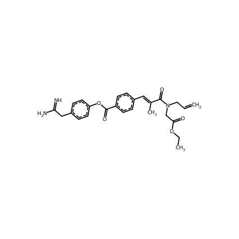 C=CCN(CC(=O)OCC)C(=O)/C(C)=C/c1ccc(C(=O)Oc2ccc(CC(=N)N)cc2)cc1